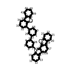 c1cc(-c2cccc(-n3c4ccccc4c4ccc5c6ccccc6oc5c43)c2)cc(-c2cccc3c2oc2ccccc23)c1